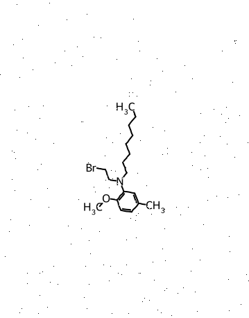 CCCCCCCCN(CCBr)c1cc(C)ccc1OC